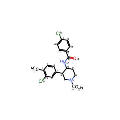 Cc1ccc(C2CN(C(=O)O)CCC2NC(=O)c2ccc(Cl)cc2)cc1Cl